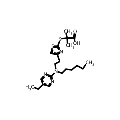 CCCCCCN(CCc1csc(SC(C)(C)C(=O)O)n1)c1ncc(CC)cn1